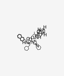 CC(C)[C@H](NC(=O)[C@@H]1C[C@@H](N2CCCCC2)CN1C(=O)[C@@H](CC1CCCCC1)NC(=O)c1ccc2ccccc2c1)B1O[C@@H]2C[C@@H]3C[C@@H](C3(C)C)[C@]2(C)O1